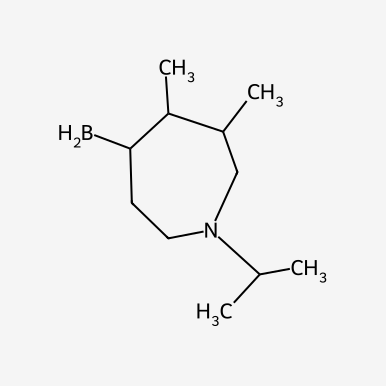 BC1CCN(C(C)C)CC(C)C1C